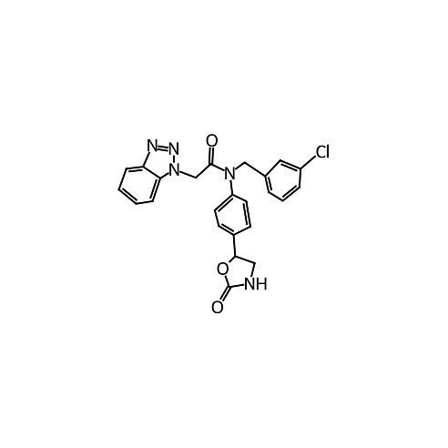 O=C1NCC(c2ccc(N(Cc3cccc(Cl)c3)C(=O)Cn3nnc4ccccc43)cc2)O1